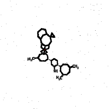 CC1CCC(C)CC([C@H]2CCC([C@@H]3CCC(C)CC(C4CC5CC6(CC6)C6CCCCC(C6)C(C4)C5C4CCC4)C3)CC2S)CC1